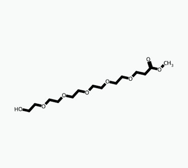 COC(=O)CCOCCOCCOCCOCCOCCO